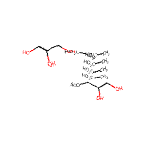 CC(=O)O.CC(=O)O.CC(=O)O.CC(=O)O.CC(=O)O.CC(=O)OCC(O)CO.OCC(O)CO